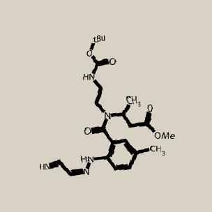 COC(=O)CC(C)N(CCNC(=O)OC(C)(C)C)C(=O)c1cc(C)ccc1N/N=C\C=N